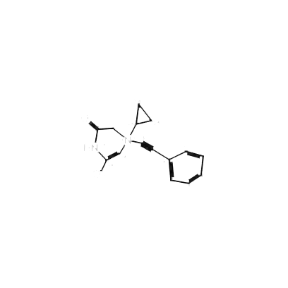 O=C1C[N+](C#Cc2ccccc2)(C2CC2)C=C(Cl)N1